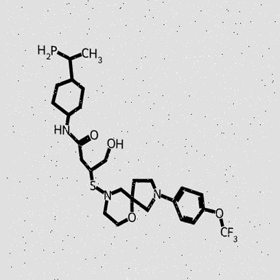 CC(P)C1CCC(NC(=O)CC(CO)SN2CCOC3(CCN(c4ccc(OC(F)(F)F)cc4)C3)C2)CC1